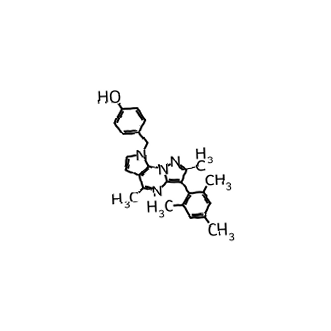 Cc1cc(C)c(-c2c(C)nn3c2nc(C)c2ccn(Cc4ccc(O)cc4)c23)c(C)c1